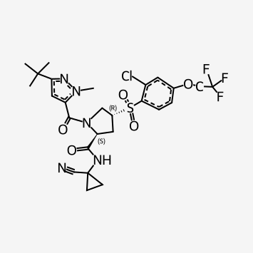 Cn1nc(C(C)(C)C)cc1C(=O)N1C[C@H](S(=O)(=O)c2ccc(OCC(F)(F)F)cc2Cl)C[C@H]1C(=O)NC1(C#N)CC1